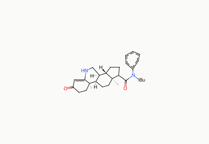 CCC(C)N(C(=O)C1CC[C@H]2[C@@H]3CNC4=CC(=O)CC[C@]4(C)[C@@H]3CC[C@]12C)c1ccccc1